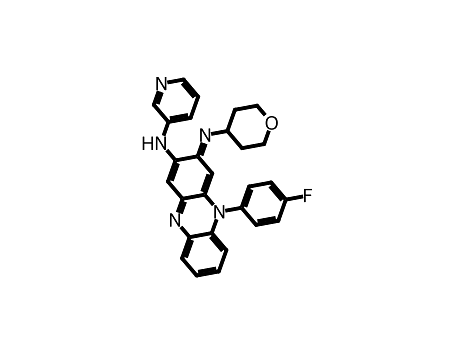 Fc1ccc(-n2c3cc(=NC4CCOCC4)c(Nc4cccnc4)cc-3nc3ccccc32)cc1